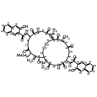 CSC[C@H]1C(=O)SCC(NC(=O)c2nc3ccccc3cc2O)C(=O)NCC(=O)N(C)[C@H]2CSSCC(C(O)N1C)N(C)C(=O)CNC(=O)C(NC(=O)c1nc3ccccc3cc1O)CSC(=O)CN(C)C2=O